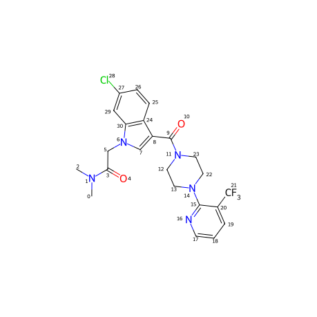 CN(C)C(=O)Cn1cc(C(=O)N2CCN(c3ncccc3C(F)(F)F)CC2)c2ccc(Cl)cc21